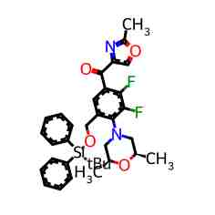 Cc1nc(C(=O)c2cc(CO[Si](c3ccccc3)(c3ccccc3)C(C)(C)C)c(N3C[C@@H](C)O[C@@H](C)C3)c(F)c2F)co1